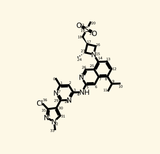 Cc1cc(Nc2cc3c(C(C)C)ccc(N4C[C@H](CS(C)(=O)=O)[C@H]4C)c3cn2)nc(-c2cn(C)nc2Cl)n1